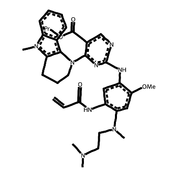 C=CC(=O)Nc1cc(Nc2ncc(C(=O)OC(C)C)c(N3CCCc4c3c3ccccc3n4C)n2)c(OC)cc1N(C)CCN(C)C